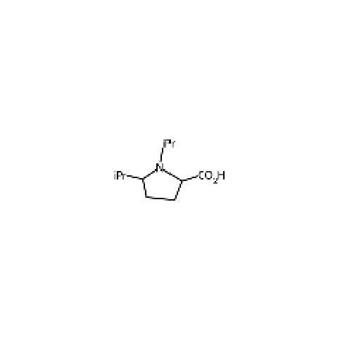 CC(C)C1CCC(C(=O)O)N1C(C)C